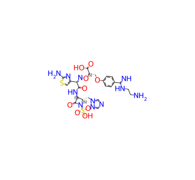 N=C(NCCN)c1ccc(OC[C@H](ON=C(C(=O)N[C@@H]2C(=O)N(S(=O)(=O)O)[C@H]2Cn2cncn2)c2csc(N)n2)C(=O)O)cc1